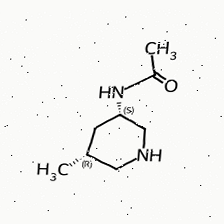 CC(=O)N[C@@H]1CNC[C@H](C)C1